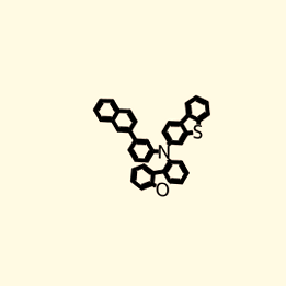 c1cc(-c2ccc3ccccc3c2)cc(N(c2ccc3c(c2)sc2ccccc23)c2cccc3oc4ccccc4c23)c1